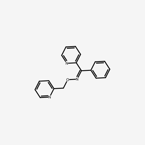 c1ccc(C(=NOCc2ccccn2)c2ccccn2)cc1